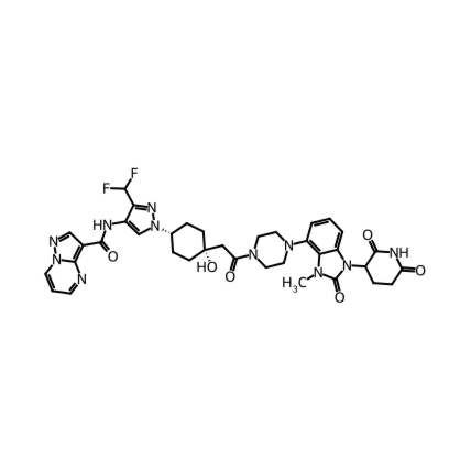 Cn1c(=O)n(C2CCC(=O)NC2=O)c2cccc(N3CCN(C(=O)C[C@]4(O)CC[C@@H](n5cc(NC(=O)c6cnn7cccnc67)c(C(F)F)n5)CC4)CC3)c21